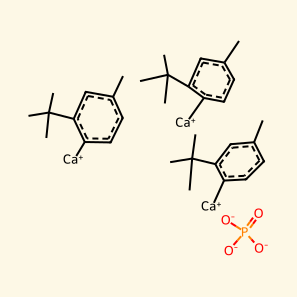 Cc1cc[c]([Ca+])c(C(C)(C)C)c1.Cc1cc[c]([Ca+])c(C(C)(C)C)c1.Cc1cc[c]([Ca+])c(C(C)(C)C)c1.O=P([O-])([O-])[O-]